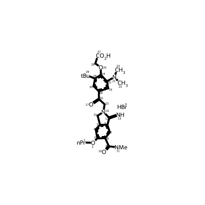 Br.CCCOc1cc2c(cc1C(=O)NC)C(=N)N(CC(=O)c1cc(N(C)C)c(OCC(=O)O)c(C(C)(C)C)c1)C2